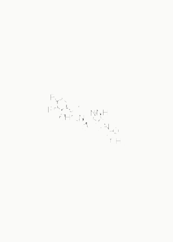 CCC(=O)N1Cc2[nH]nc(C(=O)N3CCC(c4ccc(F)c(F)c4C)CC3)c2C1